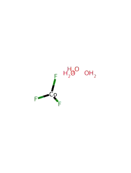 O.O.O.[F][Co]([F])[F]